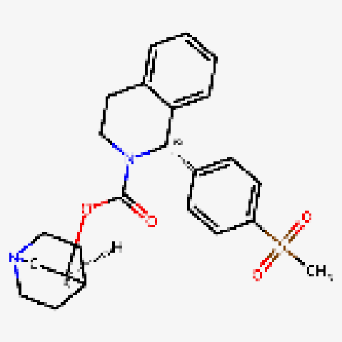 CS(=O)(=O)c1ccc([C@H]2c3ccccc3CCN2C(=O)O[C@@H]2CN3CCC2CC3)cc1